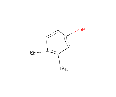 CCc1ccc(O)cc1C(C)(C)C